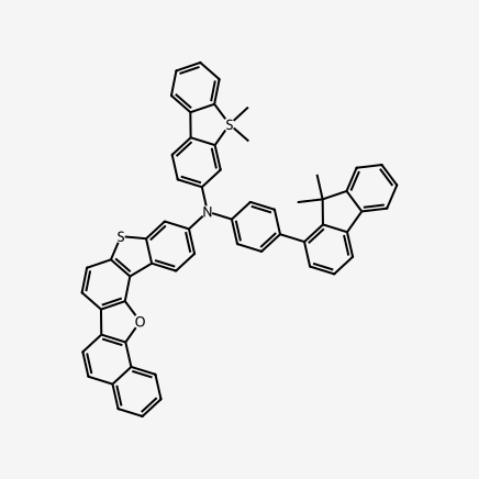 CC1(C)c2ccccc2-c2cccc(-c3ccc(N(c4ccc5c(c4)S(C)(C)c4ccccc4-5)c4ccc5c(c4)sc4ccc6c7ccc8ccccc8c7oc6c45)cc3)c21